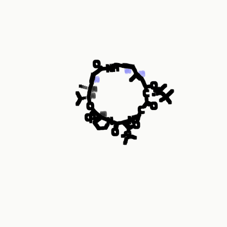 CC1=C\C(O[Si](C)(C)C(C)(C)C)CC(=O)Cc2nc(c([Si](C)(C)C)o2)C(=O)N2CCC[C@@H]2C(=O)O[C@H](C(C)C)[C@H](C)/C=C/C(=O)NC\C=C\1